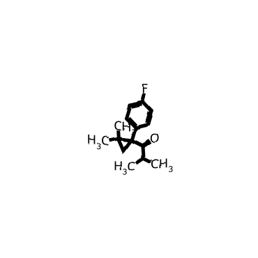 CC(C)C(=O)C1(c2ccc(F)cc2)CC1(C)C